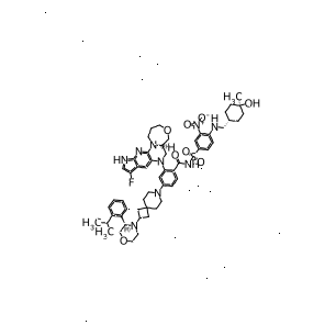 CC(C)c1ccccc1[C@@H]1COCCN1C1CC2(CCN(c3ccc(C(=O)NS(=O)(=O)c4ccc(NC[C@H]5CC[C@](C)(O)CC5)c([N+](=O)[O-])c4)c(N4C[C@@H]5COCCCN5c5nc6[nH]cc(F)c6cc54)c3)CC2)C1